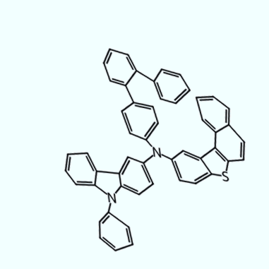 c1ccc(-c2ccccc2-c2ccc(N(c3ccc4sc5ccc6ccccc6c5c4c3)c3ccc4c(c3)c3ccccc3n4-c3ccccc3)cc2)cc1